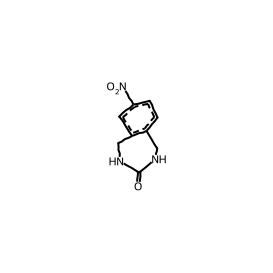 O=C1NCc2ccc([N+](=O)[O-])cc2CN1